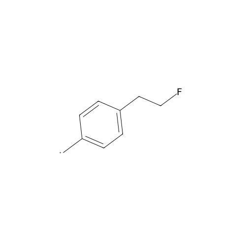 [CH2]c1ccc(CCF)cc1